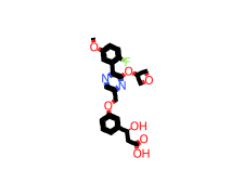 COc1ccc(F)c(-c2ncc(COc3cccc([C@H](O)CC(=O)O)c3)nc2OC2COC2)c1